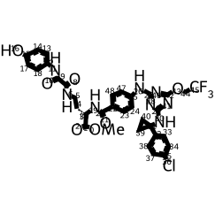 COC(=O)[C@H](CCNC(=O)C(=O)Nc1ccc(O)cc1)NC(=O)c1ccc(Nc2nc(NC3(c4ccc(Cl)cc4)CC3)nc(OCC(F)(F)F)n2)cc1